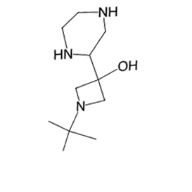 CC(C)(C)N1CC(O)(C2CNCCN2)C1